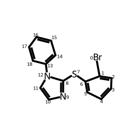 Brc1ccccc1Sc1nccn1-c1ccccc1